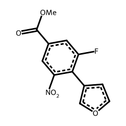 COC(=O)c1cc(F)c(-c2ccoc2)c([N+](=O)[O-])c1